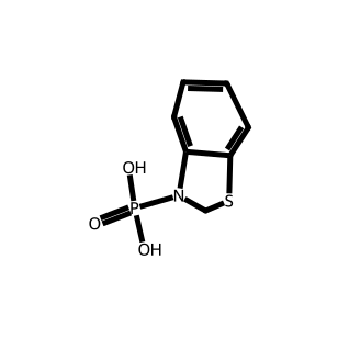 O=P(O)(O)N1CSc2ccccc21